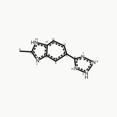 Cc1nc2cc(-c3nn[nH]n3)ccc2[nH]1